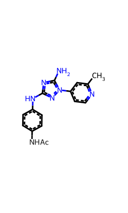 CC(=O)Nc1ccc(Nc2nc(N)n(-c3ccnc(C)c3)n2)cc1